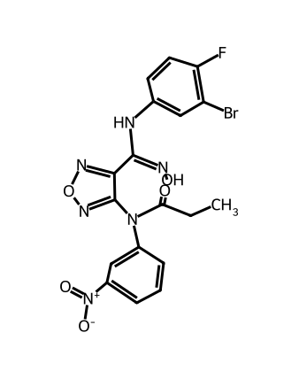 CCC(=O)N(c1cccc([N+](=O)[O-])c1)c1nonc1/C(=N\O)Nc1ccc(F)c(Br)c1